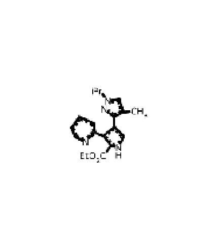 CCOC(=O)c1[nH]cc(-c2nn(C(C)C)cc2C)c1-c1ccccn1